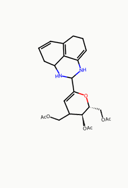 CC(=O)OCC1C=C(C2NC3=CCCC4=C3C(CC=C4)N2)O[C@H](COC(C)=O)[C@H]1OC(C)=O